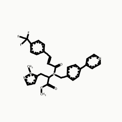 COC(=O)C(Cc1ccnn1C)N(Cc1ccc(-c2ccncc2)cc1)C(=O)C=Cc1ccc(C(F)(F)F)cc1